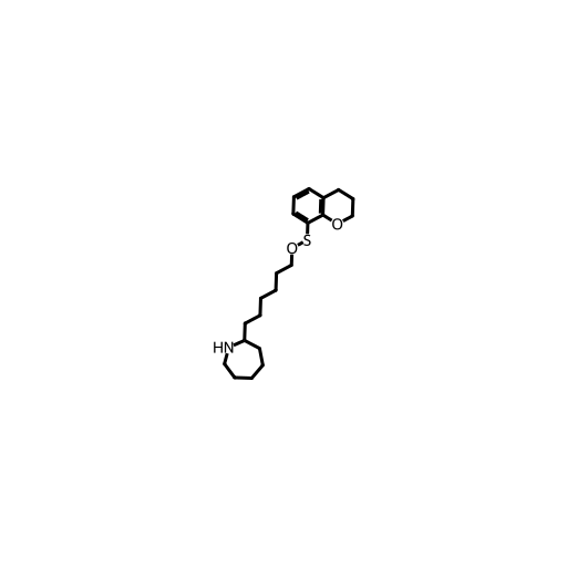 c1cc2c(c(SOCCCCCCC3CCCCCN3)c1)OCCC2